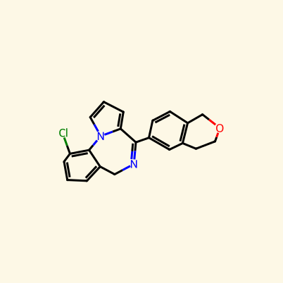 Clc1cccc2c1-n1cccc1C(c1ccc3c(c1)CCOC3)=NC2